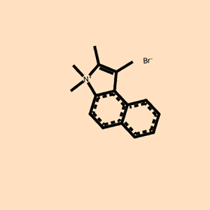 CC1=C(C)[N+](C)(C)c2ccc3ccccc3c21.[Br-]